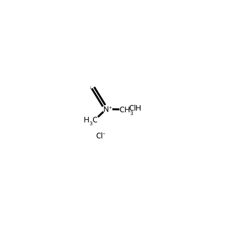 Cl.[C]=[N+](C)C.[Cl-]